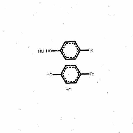 Cl.Cl.Oc1ccc([Te])cc1.Oc1ccc([Te])cc1